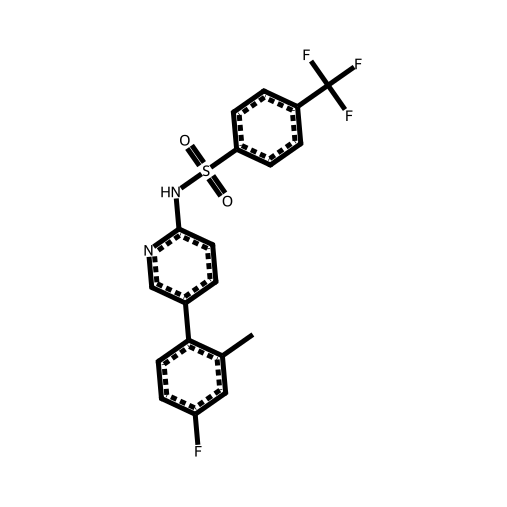 Cc1cc(F)ccc1-c1ccc(NS(=O)(=O)c2ccc(C(F)(F)F)cc2)nc1